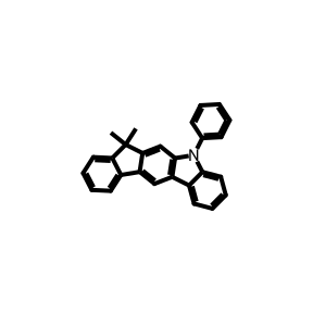 CC1(C)c2ccccc2-c2cc3c4ccccc4n(C4=C=C=CC=C4)c3cc21